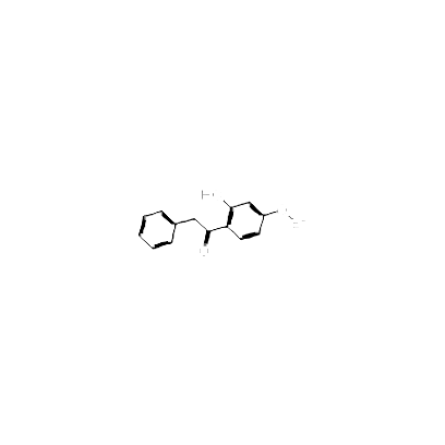 CCOc1ccc(C(=O)Cc2ccccc2)c(O)c1